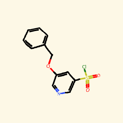 O=S(=O)(Cl)c1cncc(OCc2ccccc2)c1